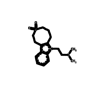 CN(C)CCn1c2c(c3ccccc31)CCS(=O)(=O)CCC2